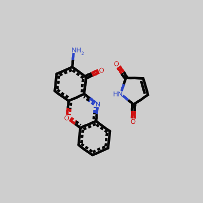 Nc1ccc2oc3ccccc3nc-2c1=O.O=C1C=CC(=O)N1